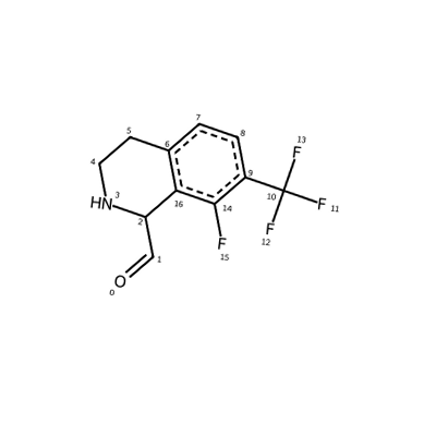 O=CC1NCCc2ccc(C(F)(F)F)c(F)c21